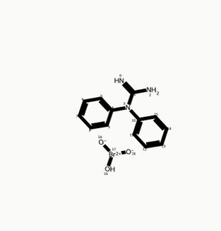 N=C(N)N(c1ccccc1)c1ccccc1.[O-][Br+2]([O-])O